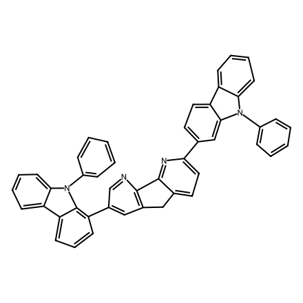 c1ccc(-n2c3ccccc3c3ccc(-c4ccc5c(n4)-c4ncc(-c6cccc7c8ccccc8n(-c8ccccc8)c67)cc4C5)cc32)cc1